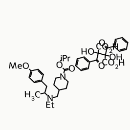 CCN(CC1CCN(C(=O)OC(C)C)CC1)C(C)Cc1ccc(OC)cc1.O=C(O)C(O)(C(=O)c1ccccc1)C(O)(C(=O)O)C(=O)c1ccccc1